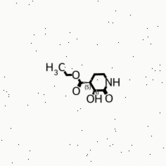 CCOC(=O)[C@H]1CCNC(=O)[C@H]1O